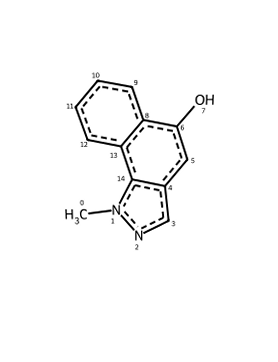 Cn1ncc2cc(O)c3ccccc3c21